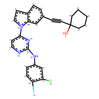 OC1(C#Cc2ccc3ccn(-c4ccnc(Nc5ccc(F)c(Cl)c5)n4)c3c2)CCCCC1